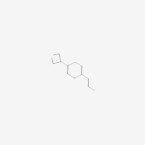 CCCC1CCC(C2COC2)CC1